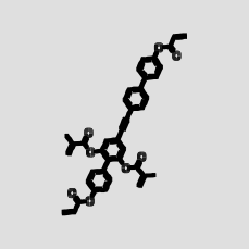 C=CC(=O)Oc1ccc(-c2ccc(C#Cc3cc(OC(=O)C(=C)C)c(-c4ccc(OC(=O)C=C)cc4)c(OC(=O)C(=C)C)c3)cc2)cc1